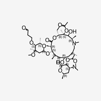 CC[C@H]1OC(=O)[C@H](C)[C@@H](O[C@H]2C[C@@](C)(OC)[C@@H](OCCC=O)[C@H](C)O2)[C@H](C)[C@@H](O[C@@H]2O[C@H](C)C[C@H](N(C)C)[C@H]2OC(C)=O)[C@](C)(O)C[C@@H](C)CN(C)[C@H](C)C(O)[C@]1(C)OC(C)=O